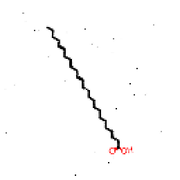 CCCCC=CCC=CCC=CCCCCCCCCCCCCC(=O)O